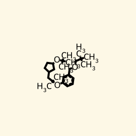 CC(C)(C)COCc1cccc(OC(C)(C)CC2CCC(OC(C)(C)C)C2)c1